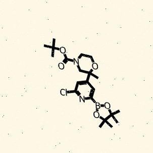 CC(C)(C)OC(=O)N1CCOC(C)(c2cc(Cl)nc(B3OC(C)(C)C(C)(C)O3)c2)C1